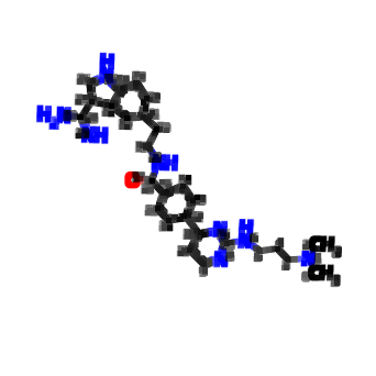 CN(C)CCCNc1nccc(-c2ccc(C(=O)NCCc3ccc4[nH]cc(C(=N)N)c4c3)cc2)n1